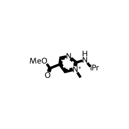 COC(=O)c1cnc(NC(C)C)[n+](C)c1